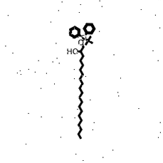 CCCCCCCCCCCCCCCCCCCC(O)CO[Si](c1ccccc1)(c1ccccc1)C(C)(C)C